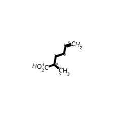 C=CCCC(C)C(=O)O